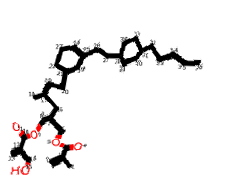 C=C(C)C(=O)OCC(COC(=O)C(=C)CO)CC(C)CCC1CCCC(CCC2CCC(CCCCC)CC2)C1